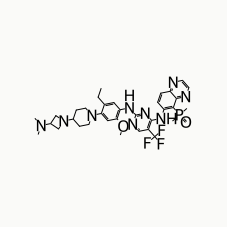 CCc1cc(Nc2ncc(C(F)(F)F)c(Nc3ccc4nccnc4c3P(C)(C)=O)n2)c(OC)cc1N1CCC(N2CC(N(C)C)C2)CC1